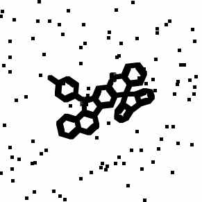 Cc1ccc(-n2c3cc4c(cc3c3ccc5ccccc5c32)C2(c3ccccc3S4)c3ccccc3-c3ccccc32)cc1